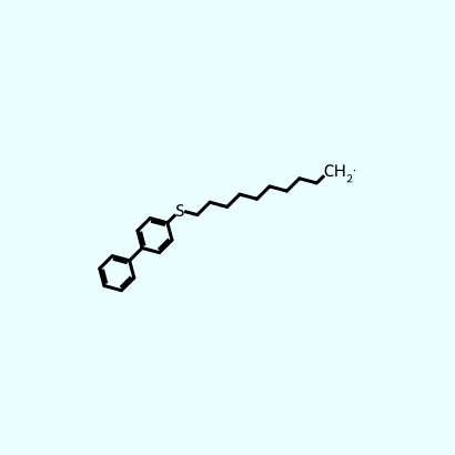 [CH2]CCCCCCCCCSc1ccc(-c2ccccc2)cc1